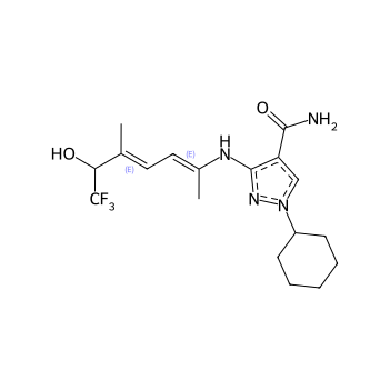 C/C(=C\C=C(/C)C(O)C(F)(F)F)Nc1nn(C2CCCCC2)cc1C(N)=O